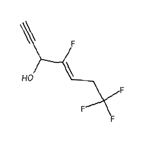 C#CC(O)C(F)=CCC(F)(F)F